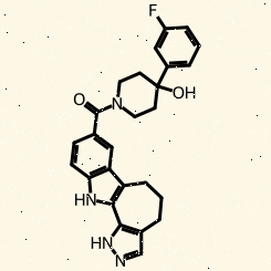 O=C(c1ccc2[nH]c3c(c2c1)CCCc1cn[nH]c1-3)N1CCC(O)(c2cccc(F)c2)CC1